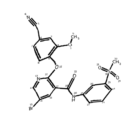 COc1cc(C#N)ccc1Oc1ncc(Br)cc1C(=O)Nc1cccc(S(C)(=O)=O)c1